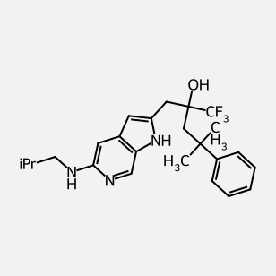 CC(C)CNc1cc2cc(CC(O)(CC(C)(C)c3ccccc3)C(F)(F)F)[nH]c2cn1